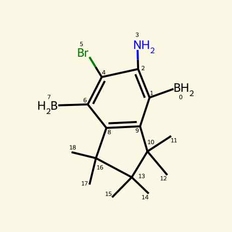 Bc1c(N)c(Br)c(B)c2c1C(C)(C)C(C)(C)C2(C)C